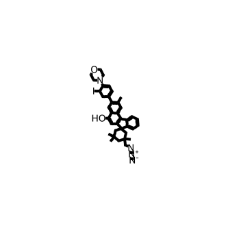 Cc1cc2c3c(cc(O)c2cc1C1=CC=C(N2CCOCC2)C(I)C1)C1(CC(C)(C)CC(C)(CN=[N+]=[N-])C1)c1ccccc1-3